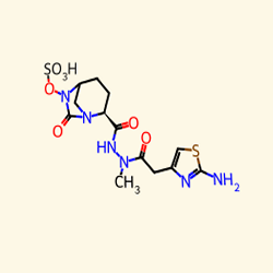 CN(NC(=O)[C@@H]1CCC2CN1C(=O)N2OS(=O)(=O)O)C(=O)Cc1csc(N)n1